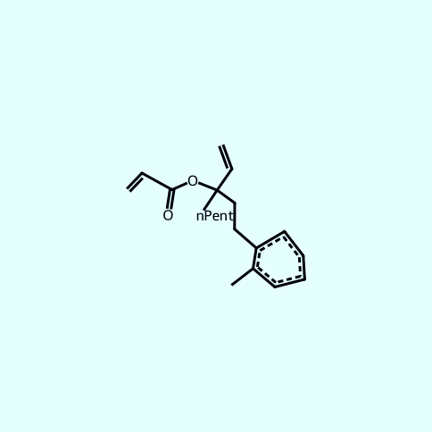 C=CC(=O)OC(C=C)(CCCCC)CCc1ccccc1C